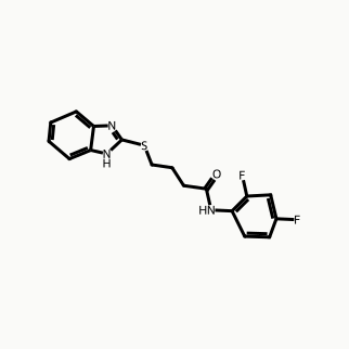 O=C(CCCSc1nc2ccccc2[nH]1)Nc1ccc(F)cc1F